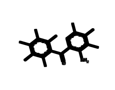 Cc1cc(C(=O)c2c(C)c(C)c(C)c(C)c2C)c(N)c(C)c1C